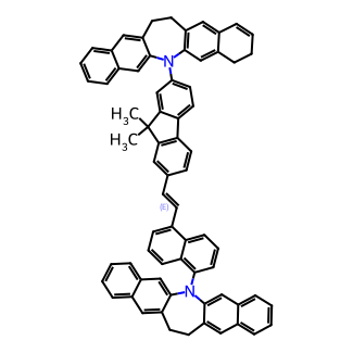 CC1(C)c2cc(/C=C/c3cccc4c(N5c6cc7ccccc7cc6CCc6cc7ccccc7cc65)cccc34)ccc2-c2ccc(N3c4cc5c(cc4CCc4cc6ccccc6cc43)C=CCC5)cc21